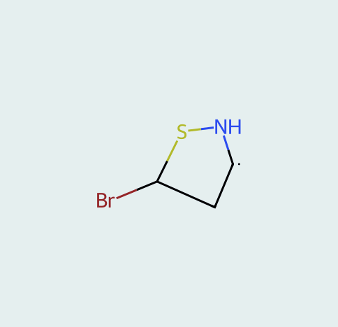 BrC1C[CH]NS1